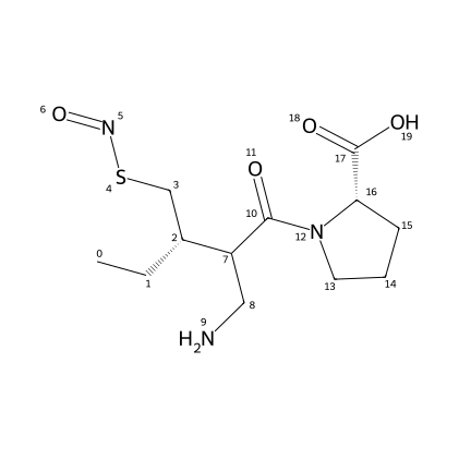 CC[C@H](CSN=O)C(CN)C(=O)N1CCC[C@H]1C(=O)O